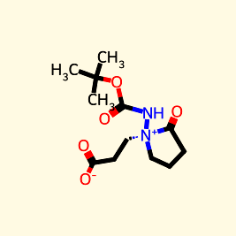 CC(C)(C)OC(=O)N[N@+]1(CCC(=O)[O-])CCCC1=O